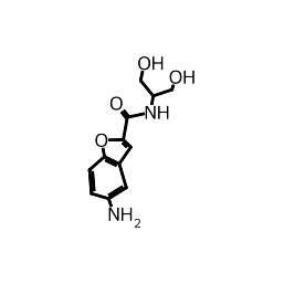 Nc1ccc2oc(C(=O)NC(CO)CO)cc2c1